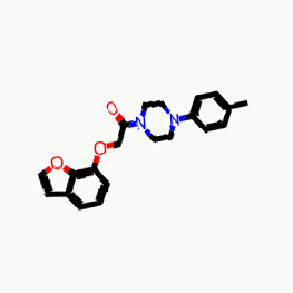 Cc1ccc(N2CCN(C(=O)COc3cccc4ccoc34)CC2)cc1